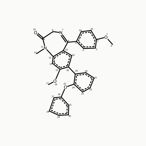 COc1ccc(C2=NCC(=O)N(C)c3cc(OC)c(-c4ccccc4Oc4ccccc4)cc32)cc1